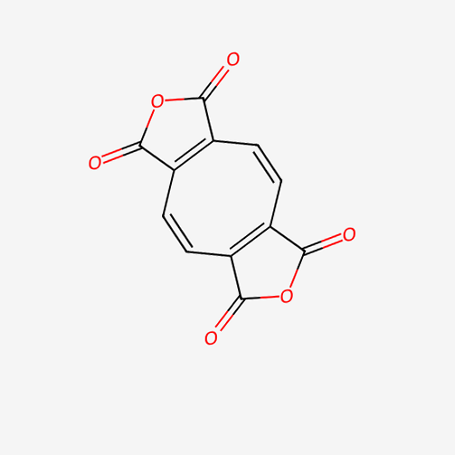 O=c1oc(=O)c2ccc3c(=O)oc(=O)c3ccc12